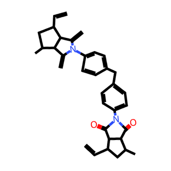 C=CC1CC(C)C2C(=C)N(c3ccc(Cc4ccc(N5C(=O)C6C(C)CC(C=C)C6C5=O)cc4)cc3)C(=C)C12